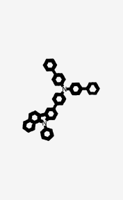 C1=CCCC(c2ccc(N(c3ccc(-c4ccccc4)cc3)c3ccc(-c4ccc5c(c4)c4ccc6ccccc6c4n5-c4ccccc4)cc3)cc2)=C1